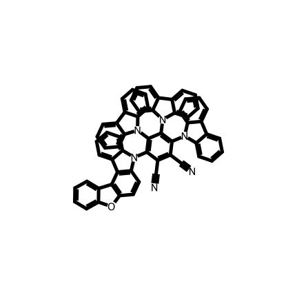 N#Cc1c(C#N)c(-n2c3ccccc3c3c4c(ccc32)oc2ccccc24)c(-n2c3ccccc3c3ccccc32)c(-n2c3ccccc3c3ccccc32)c1-n1c2ccccc2c2ccccc21